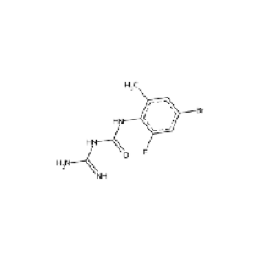 Cc1cc(Br)cc(F)c1NC(=O)NC(=N)N